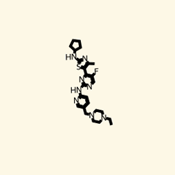 CCN1CCN(Cc2ccc(Nc3ncc(F)c(-c4sc(NC5CCCC5)nc4C)n3)nc2)CC1